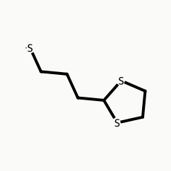 [S]CCCC1SCCS1